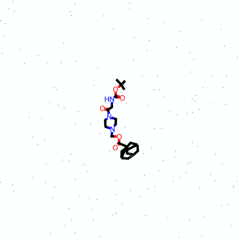 CC(C)(C)OC(=O)NCC(=O)N1CCN(COC(=O)C23CC4CC(CC(C4)C2)C3)CC1